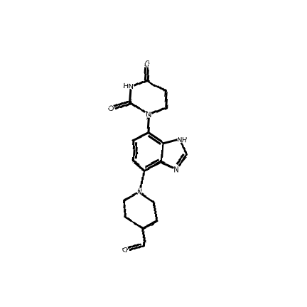 O=CC1CCN(c2ccc(N3CCC(=O)NC3=O)c3[nH]cnc23)CC1